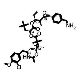 CC[C@H](OC(=O)[C@H](CC(C)(C)C)OC(=O)C(C)(C)[C@H](C)NC[C@@H](Cc1ccc(OC)c(Cl)c1)NC(C)=O)[C@H](C)[C@H]1O[C@@H]1c1ccc(CN)cc1